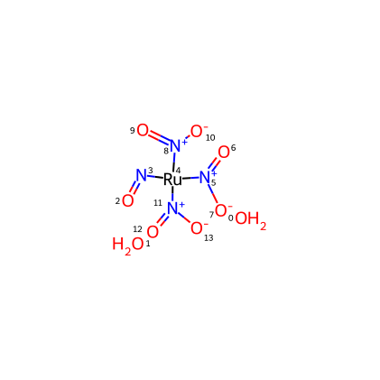 O.O.O=[N][Ru]([N+](=O)[O-])([N+](=O)[O-])[N+](=O)[O-]